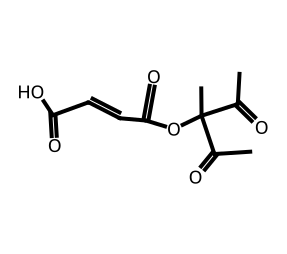 CC(=O)C(C)(OC(=O)C=CC(=O)O)C(C)=O